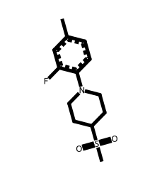 Cc1ccc(N2CCC(S(C)(=O)=O)CC2)c(F)c1